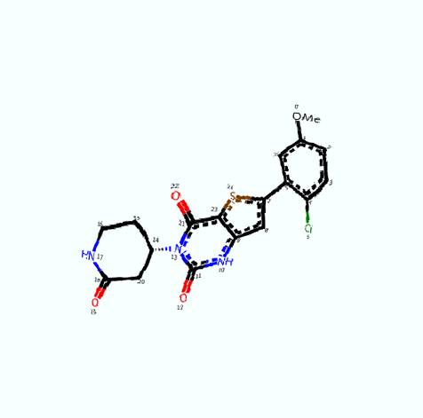 COc1ccc(Cl)c(-c2cc3[nH]c(=O)n([C@H]4CCNC(=O)C4)c(=O)c3s2)c1